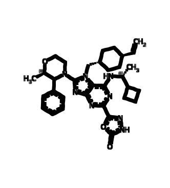 C=C[C@H]1CC[C@H](Cn2c(N3CCO[C@H](C)C3c3ccccc3)nc3nc(-c4n[nH]c(=O)o4)nc(N[C@H](C)C4CCC4)c32)CC1